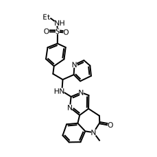 CCNS(=O)(=O)c1ccc(CC(Nc2ncc3c(n2)-c2ccccc2N(C)C(=O)C3)c2ccccn2)cc1